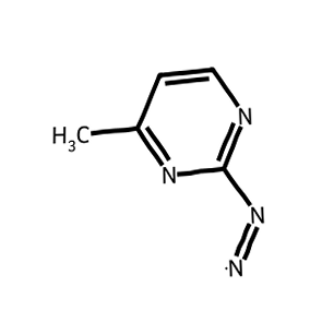 Cc1ccnc(N=[N])n1